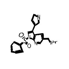 CC(C)Cc1cnc2c(c1)c(C1=CCN=C1)cn2S(=O)(=O)c1ccccc1